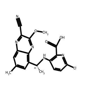 COc1nc2c([C@@H](C)Nc3ccc(Cl)nc3C(=O)O)cc(C)cc2nc1C#N